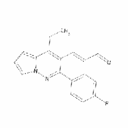 CCc1c(C=CC=O)c(-c2ccc(F)cc2)nn2cccc12